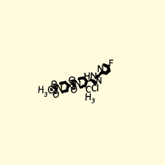 C[C@H]1CN(S(=O)(=O)C2CCN(S(C)(=O)=O)CC2)CC[C@H]1c1[nH]c(-c2ccc(F)cn2)nc1Cl